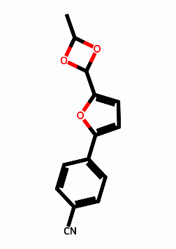 CC1OC(c2ccc(-c3ccc(C#N)cc3)o2)O1